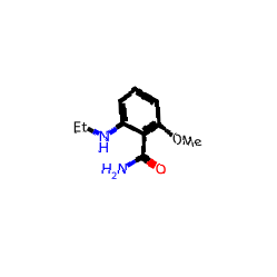 CCNc1cccc(OC)c1C(N)=O